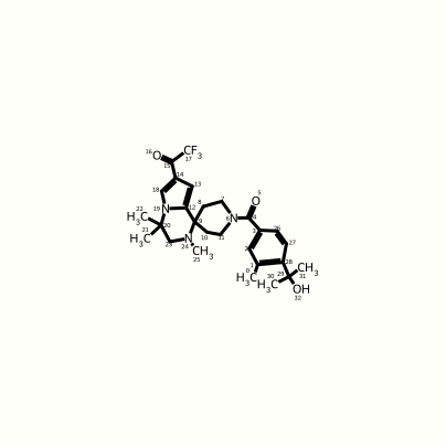 Cc1cc(C(=O)N2CCC3(CC2)c2cc(C(=O)C(F)(F)F)cn2C(C)(C)CN3C)ccc1C(C)(C)O